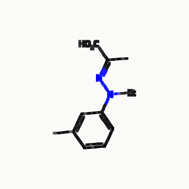 CCN(N=C(C)C(=O)O)c1cccc(C)c1